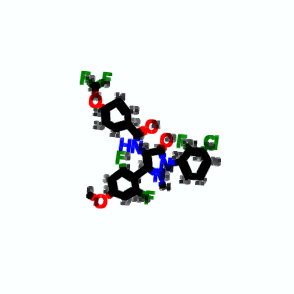 COc1cc(F)c(-c2c(NC(=O)c3ccc(OC(F)F)cc3)c(=O)n(-c3cccc(Cl)c3F)n2C)c(F)c1